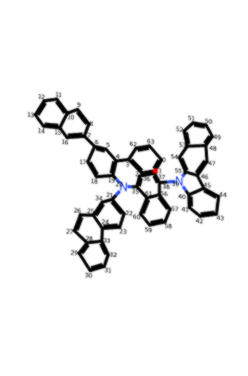 c1ccc(-c2cc(-c3ccc4ccccc4c3)ccc2N(c2ccc3c(ccc4ccccc43)c2)c2ccc(-n3c4ccccc4c4cc5ccccc5cc43)c3ccccc23)cc1